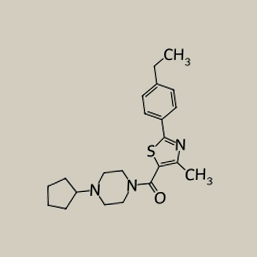 CCc1ccc(-c2nc(C)c(C(=O)N3CCN(C4CCCC4)CC3)s2)cc1